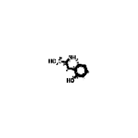 N[C@@H](Cc1ccccc1O)C(=O)O